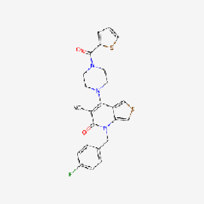 N#Cc1c(N2CCN(C(=O)c3cccs3)CC2)c2cscc2n(Cc2ccc(F)cc2)c1=O